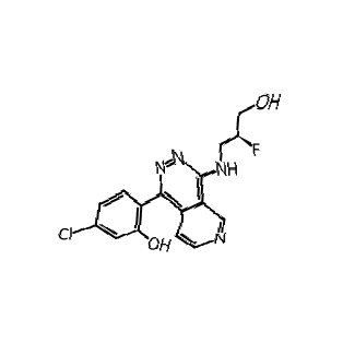 OC[C@@H](F)CNc1nnc(-c2ccc(Cl)cc2O)c2ccncc12